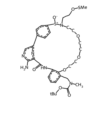 CSOCCN1CCOCCOCCOc2c(CN(C)C(=O)OC(C)(C)C)cccc2NC(=O)c2nc(cnc2N)-c2ccc(cc2)[S+]1[O-]